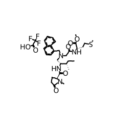 CC[C@H](C)[C@@H](CN(CC(=O)N[C@@H](CCSC)C(=O)OC)Cc1cccc2ccccc12)NC(=O)[C@@H]1CCC(=O)N1C.O=C(O)C(F)(F)F